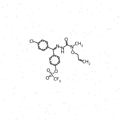 C=CCON(C)C(=O)NN=C(c1ccc(Cl)cc1)c1ccc(OS(=O)(=O)C(F)(F)F)cc1